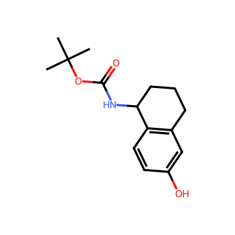 CC(C)(C)OC(=O)NC1CCCc2cc(O)ccc21